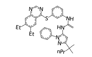 C=C(Nc1cccc(Sc2ncnc3cc(CC)c(CC)cc23)c1)Nc1cc(C(C)(C)CCC)nn1-c1ccccc1